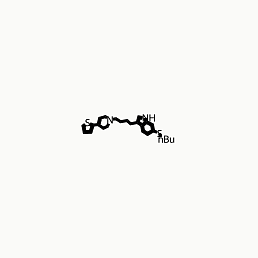 CCCCSc1ccc2c(CCCCN3CC=C(c4cccs4)CC3)c[nH]c2c1